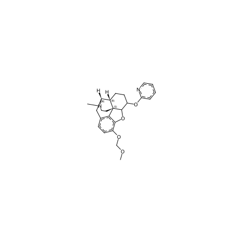 COCOc1ccc2c3c1OC1C(Oc4ccccn4)CC[C@H]4[C@@H](C2)N(C)CC[C@]314